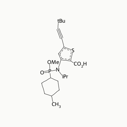 COP(=O)(C1CCC(C)CC1)N(c1cc(C#CC(C)(C)C)sc1C(=O)O)C(C)C